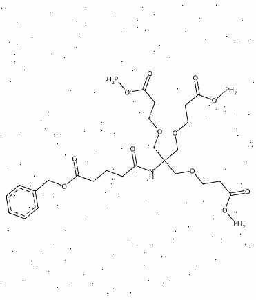 O=C(CCCC(=O)OCc1ccccc1)NC(COCCC(=O)OP)(COCCC(=O)OP)COCCC(=O)OP